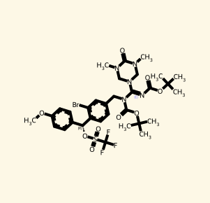 COc1ccc([C@@H](OS(=O)(=O)C(F)(F)F)c2ccc(CN(C(=O)OC(C)(C)C)/C(=N/C(=O)OC(C)(C)C)N3CN(C)C(=O)N(C)C3)cc2Br)cc1